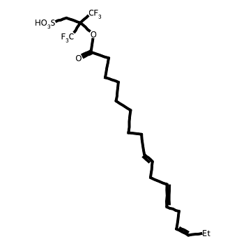 CC/C=C\C/C=C/C/C=C/CCCCCCCC(=O)OC(CS(=O)(=O)O)(C(F)(F)F)C(F)(F)F